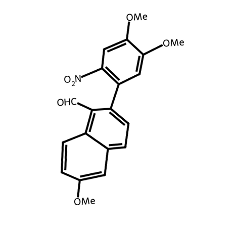 COc1ccc2c(C=O)c(-c3cc(OC)c(OC)cc3[N+](=O)[O-])ccc2c1